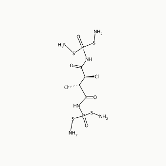 NSP(=O)(NC(=O)[C@@H](Cl)[C@@H](Cl)C(=O)NP(=O)(SN)SN)SN